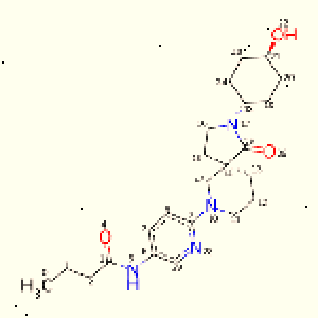 CCCC(=O)Nc1ccc(N2CCC[C@@]3(CCN([C@H]4CC[C@H](O)CC4)C3=O)C2)nc1